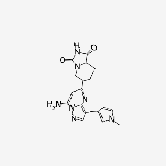 Cn1ccc(-c2cnn3c(N)cc(C4CCC5C(=O)NC(=O)N5C4)nc23)c1